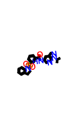 CC(C)n1ncc2cc(NC(=O)c3cccc(S(=O)(=O)N4CCc5ccccc54)c3)cnc21